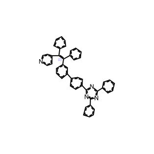 c1ccc(/C(=C(\c2ccccc2)c2cccc(-c3ccc(-c4nc(-c5ccccc5)nc(-c5ccccc5)n4)cc3)c2)c2ccncc2)cc1